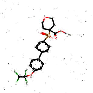 CC(C)(C)OC(=O)C1(S(=O)(=O)c2ccc(-c3ccc(OC(F)(F)C(F)F)cc3)cc2)CCOCC1